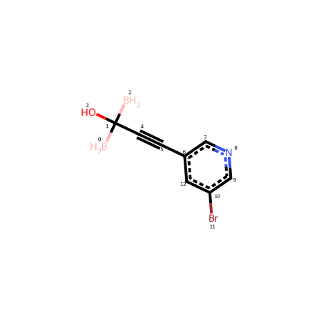 BC(B)(O)C#Cc1cncc(Br)c1